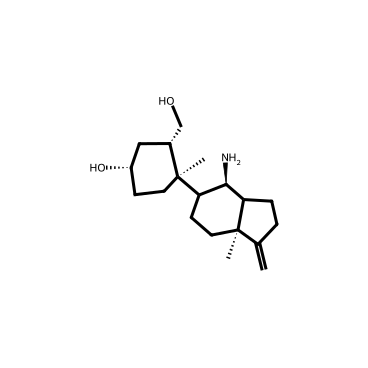 C=C1CCC2[C@H](N)C([C@@]3(C)CC[C@H](O)C[C@@H]3CO)CC[C@]12C